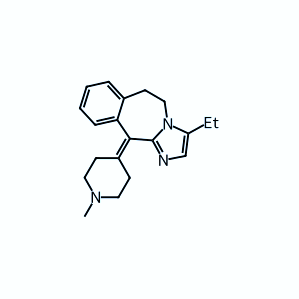 CCc1cnc2n1CCc1ccccc1C2=C1CCN(C)CC1